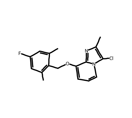 Cc1cc(F)cc(C)c1COc1cccn2c(Cl)c(C)nc12